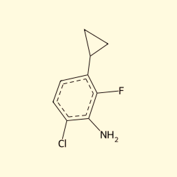 Nc1c(Cl)ccc(C2CC2)c1F